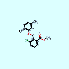 COC(=O)c1cccc(Cl)c1COc1cc(C)ccc1C